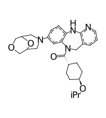 CC(C)O[C@H]1CC[C@H](C(=O)N2Cc3cccnc3Nc3ccc(N4CC5COCC(C4)O5)cc32)CC1